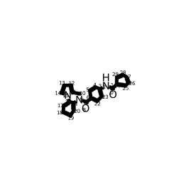 O=C(Nc1ccc(C(=O)N2Cc3cccn3-c3ccccc32)cc1)c1ccccc1